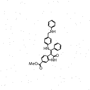 COC(=O)c1ccc2c(c1)NC(=O)C2=C(Nc1ccc(CNc2ccccc2)cc1)c1ccccc1